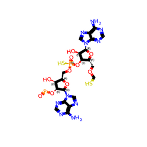 Nc1ncnc2c1ncn2[C@@H]1O[C@H](COCS)[C@@H](O[P@](=O)(S)OC[C@H]2O[C@@H](n3cnc4c(N)ncnc43)[C@H](OP=O)[C@@H]2O)[C@H]1O